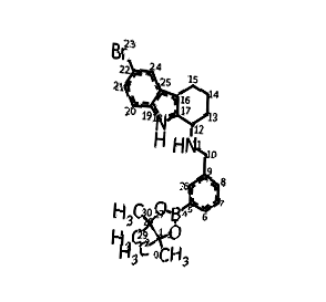 CC1(C)OB(c2cccc(CNC3CCCc4c3[nH]c3ccc(Br)cc43)c2)OC1(C)C